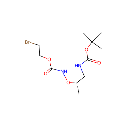 C[C@@H](CNC(=O)OC(C)(C)C)ONC(=O)OCCBr